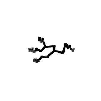 [CH2]C[C](CCC)CC(C)CC